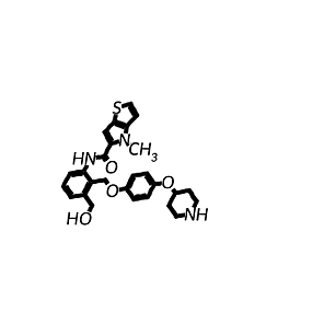 Cn1c(C(=O)Nc2cccc(CO)c2COc2ccc(OC3CCNCC3)cc2)cc2sccc21